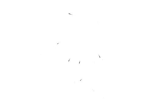 CCC(=O)O.CCC1OC(=O)C[C@@H](O)[C@H](C)[C@@H](O[C@@H]2O[C@H](C)C[C@H](N(C)C)[C@H]2O)[C@@H](CC=O)C[C@@H](C)C(=O)/C=C/[C@]2(C)OC2C1C